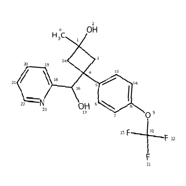 CC1(O)CC(c2ccc(OC(F)(F)F)cc2)(C(O)c2ccccn2)C1